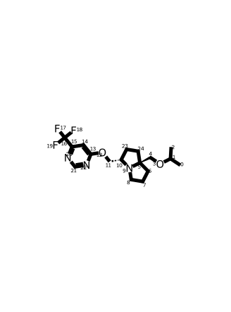 CC(C)OC[C@@]12CCCN1[C@H](COc1cc(C(F)(F)F)ncn1)CC2